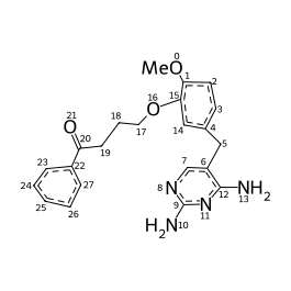 COc1ccc(Cc2cnc(N)nc2N)cc1OCCCC(=O)c1ccccc1